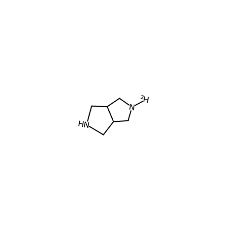 [2H]N1CC2CNCC2C1